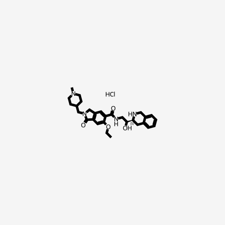 CCOc1cc2c(cc1C(=O)NCC(O)[C@@H]1Cc3ccccc3CN1)CN(CC1CCN(C)CC1)C2=O.Cl